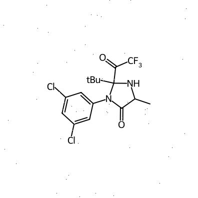 CC1NC(C(=O)C(F)(F)F)(C(C)(C)C)N(c2cc(Cl)cc(Cl)c2)C1=O